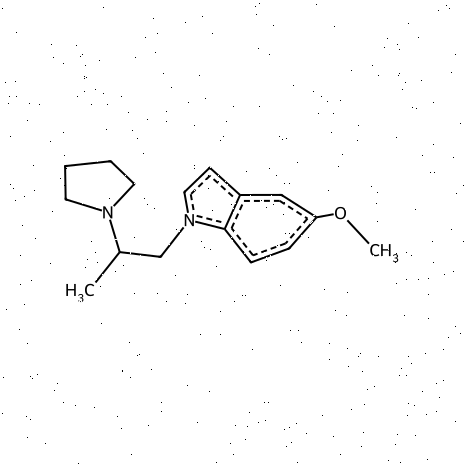 COc1ccc2c(ccn2CC(C)N2CCCC2)c1